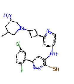 CC1CC(N)CN(C2CC(c3cc(Nc4cc(-c5cc(Cl)ccc5F)nnc4S)ccn3)C2)C1